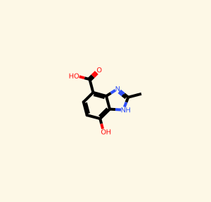 Cc1nc2c(C(=O)O)ccc(O)c2[nH]1